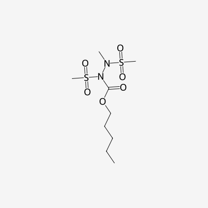 CCCCCOC(=O)N(N(C)S(C)(=O)=O)S(C)(=O)=O